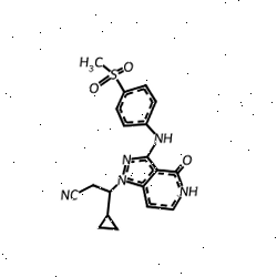 CS(=O)(=O)c1ccc(Nc2nn(C(CC#N)C3CC3)c3cc[nH]c(=O)c23)cc1